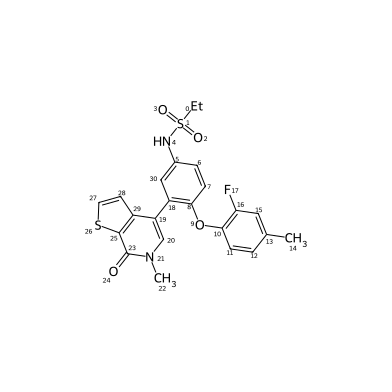 CCS(=O)(=O)Nc1ccc(Oc2ccc(C)cc2F)c(-c2cn(C)c(=O)c3sccc23)c1